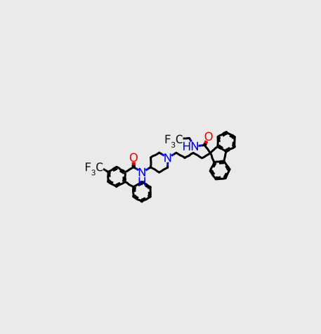 O=C(NC1CCN(CCCCC2(C(=O)NCC(F)(F)F)c3ccccc3-c3ccccc32)CC1)c1cc(C(F)(F)F)ccc1-c1ccccc1